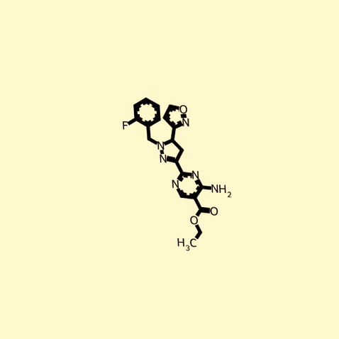 CCOC(=O)c1cnc(C2=NN(Cc3ccccc3F)C(c3ccon3)C2)nc1N